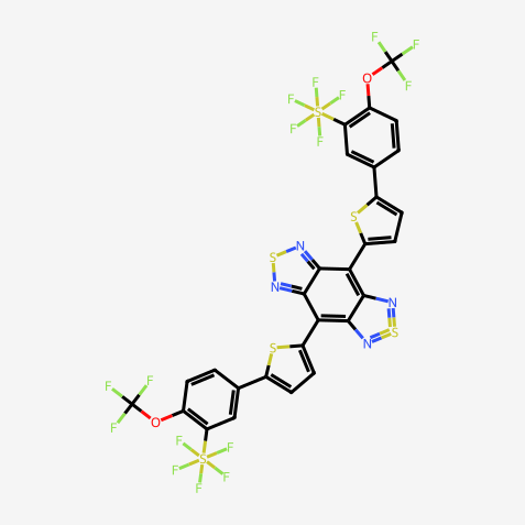 FC(F)(F)Oc1ccc(-c2ccc(-c3c4c(c(-c5ccc(-c6ccc(OC(F)(F)F)c(S(F)(F)(F)(F)F)c6)s5)c5nsnc35)N=S=N4)s2)cc1S(F)(F)(F)(F)F